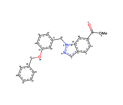 COC(=O)c1ccc2cnn(Cc3cccc(OCc4ccccc4)c3)c2c1